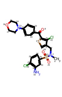 CN(Cc1csc(C(=O)c2ccc(N3CCOCC3)cc2)c1Cl)S(=O)(=O)c1ccc(Cl)c(N)c1